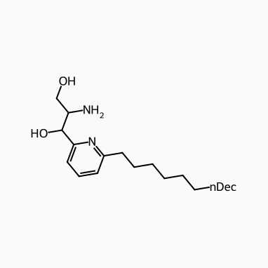 CCCCCCCCCCCCCCCCc1cccc(C(O)C(N)CO)n1